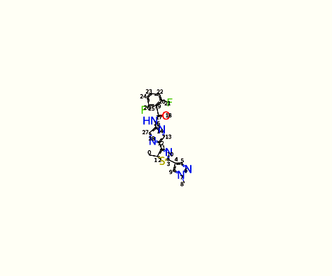 Cc1sc(-c2cnn(C)c2)nc1-c1cnc(NC(=O)c2c(F)cccc2F)cn1